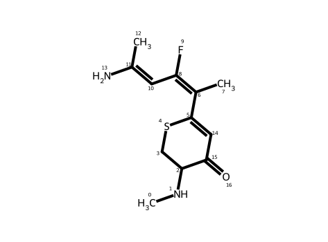 CNC1CSC(/C(C)=C(F)\C=C(/C)N)=CC1=O